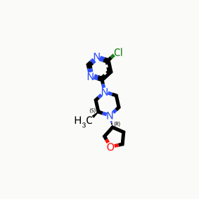 C[C@H]1CN(c2cc(Cl)ncn2)CCN1[C@@H]1CCOC1